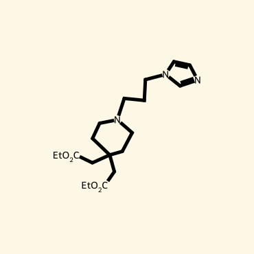 CCOC(=O)CC1(CC(=O)OCC)CCN(CCCn2ccnc2)CC1